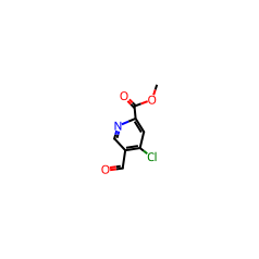 COC(=O)c1cc(Cl)c(C=O)cn1